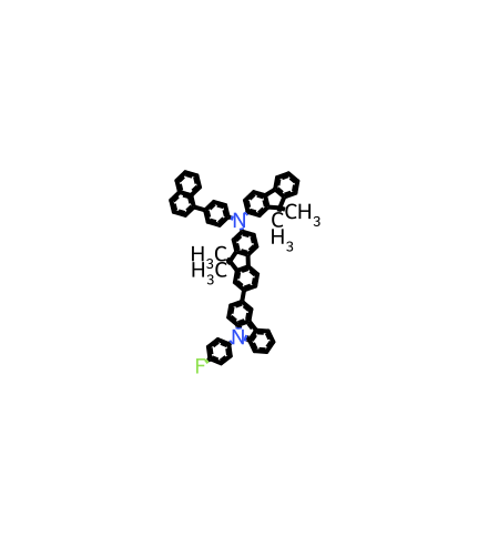 CC1(C)c2ccccc2-c2ccc(N(c3ccc(-c4cccc5ccccc45)cc3)c3ccc4c(c3)C(C)(C)c3cc(-c5ccc6c(c5)c5ccccc5n6-c5ccc(F)cc5)ccc3-4)cc21